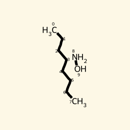 CCCCCCCC.NO